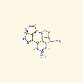 NCC1CCN(c2ccnc3[nH]cc(-c4ccnc(N)n4)c23)C1